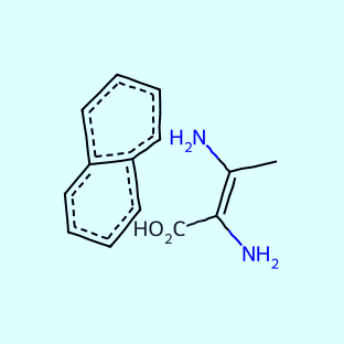 C/C(N)=C(\N)C(=O)O.c1ccc2ccccc2c1